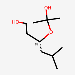 CC(C)C[C@H](CCO)OC(C)(C)O